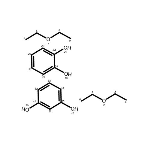 CCOCC.CCOCC.Oc1cccc(O)c1.Oc1ccccc1O